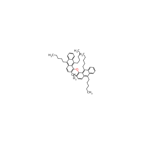 CCCCCc1c2ccccc2c(CCCCC)c2c(Oc3c(C)ccc4c(CCCCC)c5ccccc5c(CCCCC)c34)c(C)ccc12